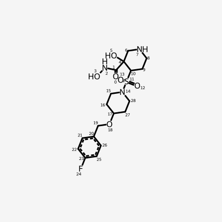 O=C(NO)C1(O)CNCCC1S(=O)(=O)N1CCC(OCc2ccc(F)cc2)CC1